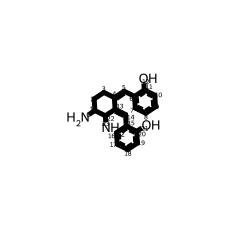 NC1CCC(=Cc2ccccc2O)C(=Cc2ccccc2O)C1N